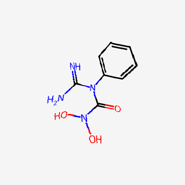 N=C(N)N(C(=O)N(O)O)c1ccccc1